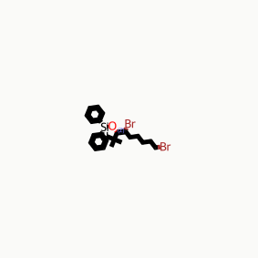 CC(C)(C)/C(O[SiH](c1ccccc1)c1ccccc1)=C(/Br)CCCCCBr